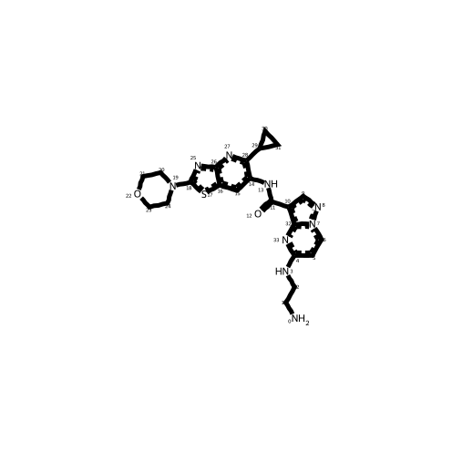 NCCNc1ccn2ncc(C(=O)Nc3cc4sc(N5CCOCC5)nc4nc3C3CC3)c2n1